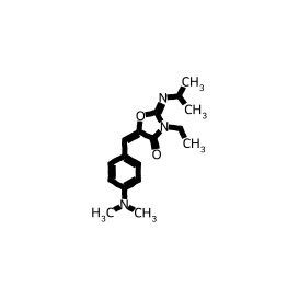 CCN1C(=O)/C(=C\c2ccc(N(C)C)cc2)O/C1=N/C(C)C